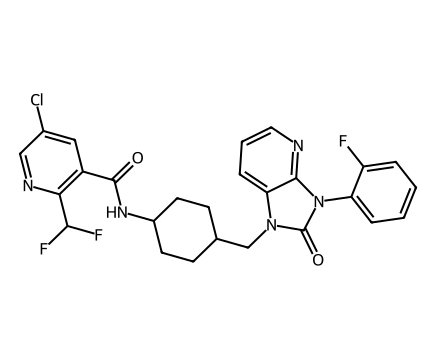 O=C(NC1CCC(Cn2c(=O)n(-c3ccccc3F)c3ncccc32)CC1)c1cc(Cl)cnc1C(F)F